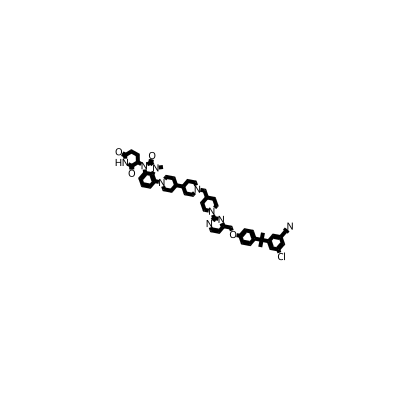 Cn1c(=O)n(C2CCC(=O)NC2=O)c2cccc(N3CCC(C4CCN(CC5CCN(c6nccc(COc7ccc(C(C)(C)c8cc(Cl)cc(C#N)c8)cc7)n6)CC5)CC4)CC3)c21